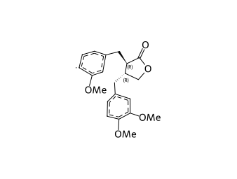 COc1[c]ccc(C[C@H]2C(=O)OC[C@@H]2Cc2ccc(OC)c(OC)c2)c1